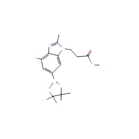 COC(=O)CCn1c(C)nc2c(F)cc(B3OC(C)(C)C(C)(C)O3)cc21